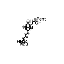 CCCCC[C@H](O)/C=C/[C@@H]1[C@H]2CC(CCCCC(=O)NCCCC)=C[C@H]2C[C@H]1O